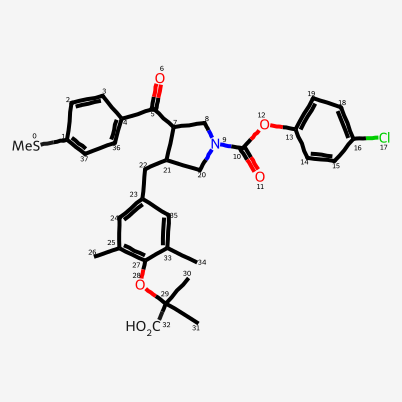 CSc1ccc(C(=O)C2CN(C(=O)Oc3ccc(Cl)cc3)CC2Cc2cc(C)c(OC(C)(C)C(=O)O)c(C)c2)cc1